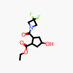 CCOC(=O)C1CC(O)CC1C(=O)N1CC(F)(F)C1